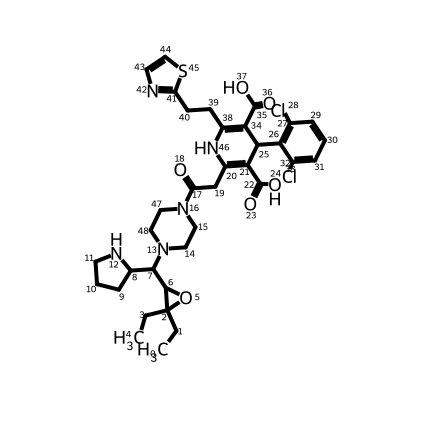 CCC1(CC)OC1C(C1CCCN1)N1CCN(C(=O)CC2=C(C(=O)O)C(c3c(Cl)cccc3Cl)C(C(=O)O)=C(CCc3nccs3)N2)CC1